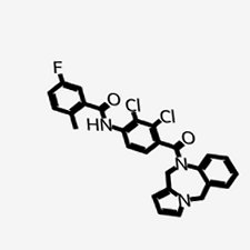 Cc1ccc(F)cc1C(=O)Nc1ccc(C(=O)N2Cc3cccn3Cc3ccccc32)c(Cl)c1Cl